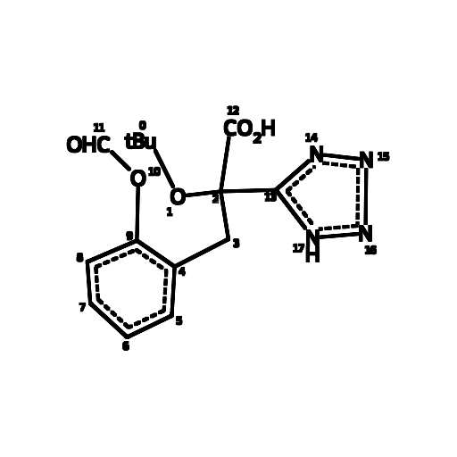 CC(C)(C)OC(Cc1ccccc1OC=O)(C(=O)O)c1nnn[nH]1